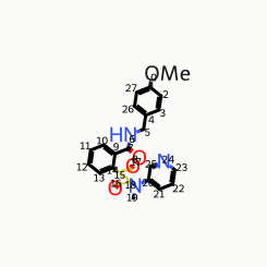 COc1ccc(CNC(=O)c2ccccc2S(=O)(=O)N(C)c2cccnc2)cc1